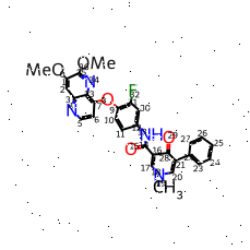 COc1cc2nccc(Oc3ccc(NC(=O)c4cn(C)cc(-c5ccccc5)c4=O)cc3F)c2nc1OC